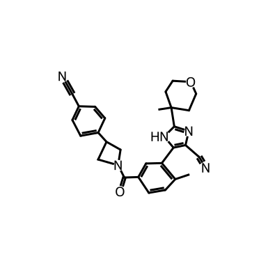 Cc1ccc(C(=O)N2CC(c3ccc(C#N)cc3)C2)cc1-c1[nH]c(C2(C)CCOCC2)nc1C#N